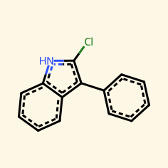 Clc1[nH]c2ccccc2c1-c1ccccc1